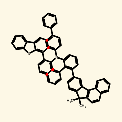 CC1(C)c2ccc(-c3cccc(N(c4ccc(-c5ccccc5)cc4)c4ccccc4-c4cccc5c4sc4ccccc45)c3-c3ccccc3)cc2-c2c1ccc1ccccc21